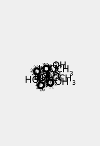 CC(C)(O)CCC(C)(C)O.O=P(O)(c1ccccc1)c1ccccc1.O=P(O)(c1ccccc1)c1ccccc1